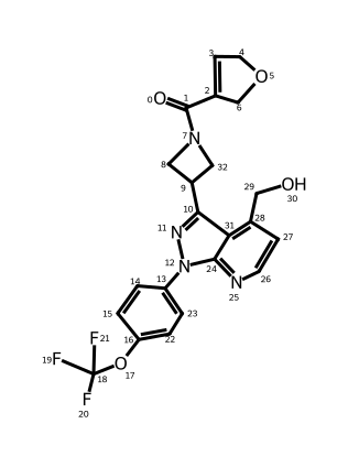 O=C(C1=CCOC1)N1CC(c2nn(-c3ccc(OC(F)(F)F)cc3)c3nccc(CO)c23)C1